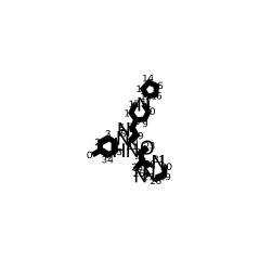 Cc1ccc(-n2nc(C3CCN(C4CCCC4)CC3)cc2NC(=O)c2cnn3cccnc23)cc1